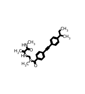 C=C(NCN(C)C(=O)c1ccc(C#Cc2ccc(C(C)CC)cc2)cc1)C(=O)NC